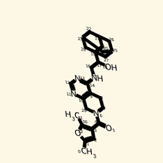 Cc1cc(C(=O)N2CCc3c(ncnc3NCC(O)C34CC5CC(CC(C5)C3)C4)C2)c(C)o1